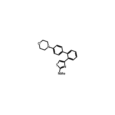 CNc1nc(-c2ccccc2-c2ccc(N3CCOCC3)cc2)cs1